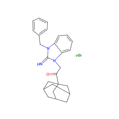 Br.N=c1n(CC(=O)C23CC4CC(CC(C4)C2)C3)c2ccccc2n1Cc1ccccc1